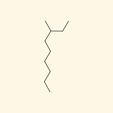 [CH2]CCCCCC(C)CC